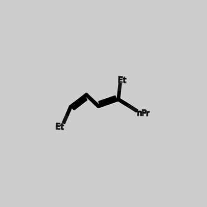 CC/C=C\C=C(/CC)CCC